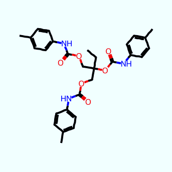 CCC(COC(=O)Nc1ccc(C)cc1)(COC(=O)Nc1ccc(C)cc1)OC(=O)Nc1ccc(C)cc1